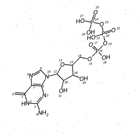 C=C1NC(N)=Nc2c1ncn2C1OC(COP(=O)(O)OP(=O)(O)OP(=O)(O)O)C(O)C1O